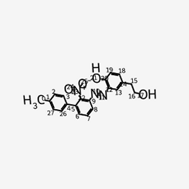 Cc1ccc(-c2cccc(N=Nc3cc(CCO)ccc3O)c2[N+](=O)[O-])cc1